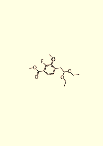 CCOC(Cc1ccc(C(=O)OC)c(F)c1OC)OCC